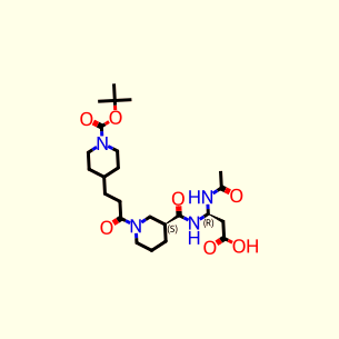 CC(=O)N[C@@H](CC(=O)O)NC(=O)[C@H]1CCCN(C(=O)CCC2CCN(C(=O)OC(C)(C)C)CC2)C1